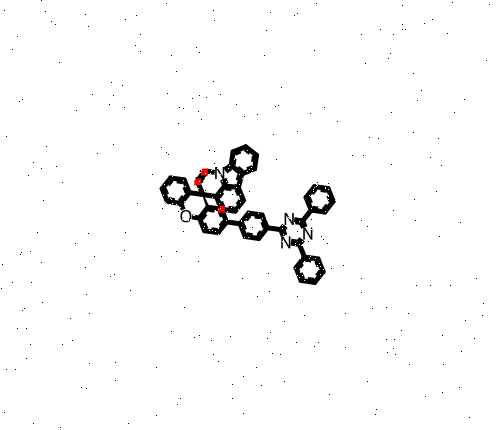 c1ccc(-c2nc(-c3ccccc3)nc(-c3ccc(-c4ccc5c(c4)[C@@]4(c6ccccc6O5)c5ccccc5-n5c6ccccc6c6cccc4c65)cc3)n2)cc1